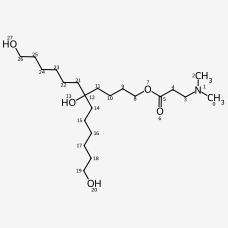 CN(C)CCC(=O)OCCCCC(O)(CCCCCCO)CCCCCCO